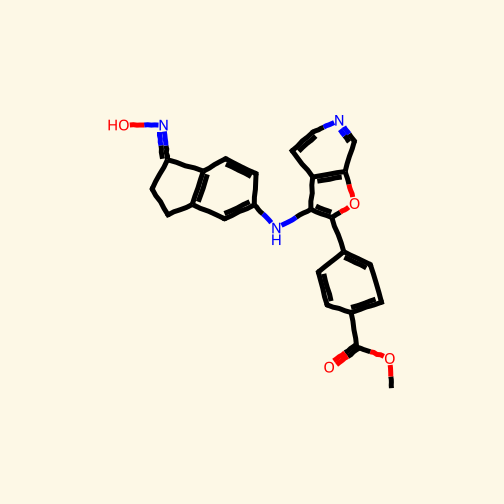 COC(=O)c1ccc(-c2oc3cnccc3c2Nc2ccc3c(c2)CC/C3=N\O)cc1